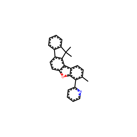 Cc1ccc2c(oc3ccc4c(c32)C(C)(C)c2ccccc2-4)c1-c1ccccn1